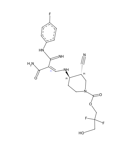 N#C[C@@H]1CN(C(=O)OCC(F)(F)CO)CC[C@H]1N/C=C(\C(=N)Nc1ccc(F)cc1)C(N)=O